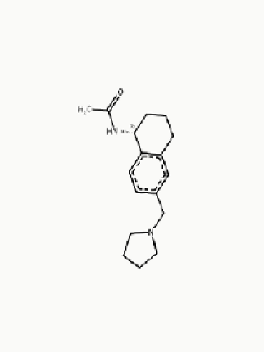 CC(=O)N[C@@H]1CCCc2cc(CN3CCCC3)ccc21